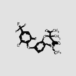 CC(=O)C1(C)Oc2cc(Oc3c(F)cc(C(F)(F)F)cc3Cl)ccc2N(C)C1=O